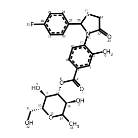 Cc1cc(C(=O)O[C@H]2[C@H](O)[C@@H](CO)OC(C)[C@@H]2O)ccc1N1C(=O)CSC1c1ccc(F)cc1